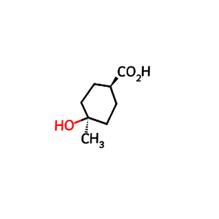 C[C@]1(O)CC[C@@H](C(=O)O)CC1